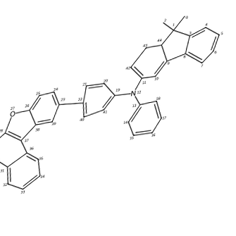 CC1(C)c2ccccc2C2=CC(N(c3ccccc3)c3ccc(-c4ccc5oc6ccc7ccccc7c6c5c4)cc3)=CCC21